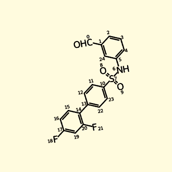 O=Cc1cccc(NS(=O)(=O)c2ccc(-c3ccc(F)cc3F)cc2)c1